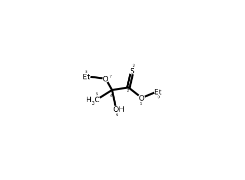 CCOC(=S)C(C)(O)OCC